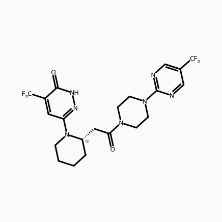 O=C(C[C@@H]1CCCCN1c1cc(C(F)(F)F)c(=O)[nH]n1)N1CCN(c2ncc(C(F)(F)F)cn2)CC1